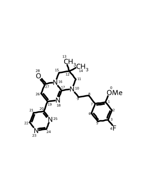 COc1cc(F)ccc1CCN1CC(C)(C)Cn2c1nc(-c1ccncn1)cc2=O